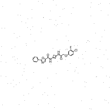 O=C(COc1ccc(Cl)c(F)c1)NC12CC(NC(=O)c3cnc(-c4ccccc4)o3)(C1)C2